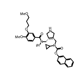 COCCCOc1cc(C(=O)N(C[C@@H]2CNC[C@H]2CN(C(=O)Oc2ccc3ccccc3c2)C2CC2)C(C)C)ccc1OC